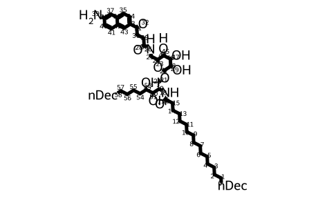 CCCCCCCCCCCCCCCCCCCCCCCCCC(=O)N[C@@H](COC1OC(CNC(=O)CCC(=O)c2ccc3cc(N)ccc3c2)C(O)C(O)C1O)[C@H](O)[C@H](O)CCCCCCCCCCCCCC